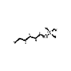 CCCCC[CH]O[Si](C)(C)C